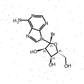 Nc1ncnc2c1ncn2[C@]1(Br)O[C@H](CO)[C@@H](O)[C@H]1O